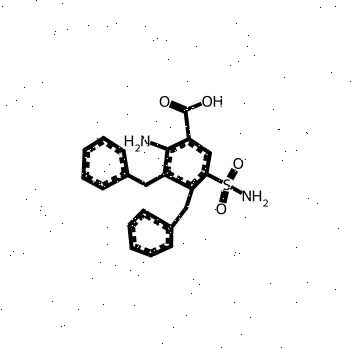 Nc1c(C(=O)O)cc(S(N)(=O)=O)c(Cc2ccccc2)c1Cc1ccccc1